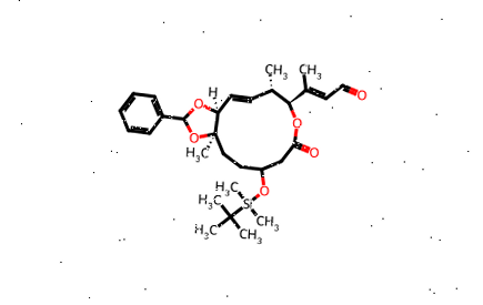 C/C(=C\C=O)[C@H]1OC(=O)CC(O[Si](C)(C)C(C)(C)C)CC[C@@]2(C)OC(c3ccccc3)O[C@H]2/C=C/[C@@H]1C